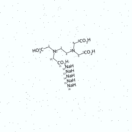 O=C(O)CN(CCN(CC(=O)O)CC(=O)O)CC(=O)O.[NaH].[NaH].[NaH].[NaH].[NaH]